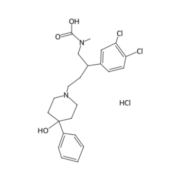 CN(CC(CCN1CCC(O)(c2ccccc2)CC1)c1ccc(Cl)c(Cl)c1)C(=O)O.Cl